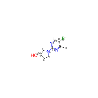 Cc1nc(N2CC[C@H](O)C2)ncc1Br